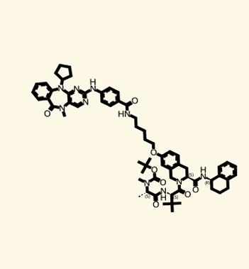 C[C@@H](C(=O)N[C@H](C(=O)N1Cc2cc(OCCCCCNC(=O)c3ccc(Nc4ncc5c(n4)N(C4CCCC4)c4ccccc4C(=O)N5C)cc3)ccc2C[C@H]1C(=O)N[C@@H]1CCCc2ccccc21)C(C)(C)C)N(C)C(=O)OC(C)(C)C